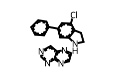 Clc1cc(-c2ccccc2)cc2c1CCN2.c1cnc2ncncc2n1